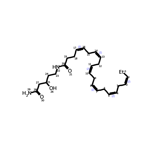 CC/C=C\C/C=C\C/C=C\C/C=C\C/C=C\C/C=C\CCC(=O)NCCC(O)CC(N)=O